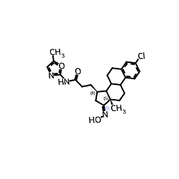 Cc1cnc(NC(=O)CC[C@@H]2C/C(=N\O)[C@@]3(C)CCC4c5ccc(Cl)cc5CCC4C23)o1